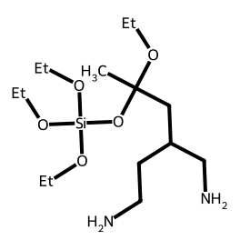 CCOC(C)(CC(CN)CCN)O[Si](OCC)(OCC)OCC